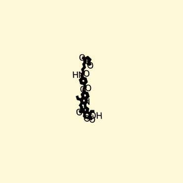 CCc1c2c(nc3ccc(OC(=O)c4ccc(NC(=O)CCCN5C(=O)C=CC5=O)cc4)cc13)-c1cc3c(c(=O)n1C2)COC(=O)[C@]3(O)CC